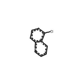 Clc1[c]ccc2[c]cccc12